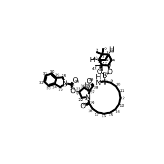 CC1(C)[C@H]2CC3OB([C@@H]4CCCCCCCCCCC(=O)N5C[C@H](OC(=O)N6Cc7ccccc7C6)C[C@H]5C(=O)N4)O[C@]3(C)[C@@H]1C2